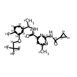 Cc1cc(C(=O)NC(C)c2ccc(F)c(OCC(F)(F)F)c2)nc(NC(=O)C2CC2)n1